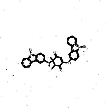 CCn1c2ccccc2c2cc(NC3=CC(=O)C(Cl)(Nc4ccc5c(c4)c4ccccc4n5CC)C(Cl)C3=O)ccc21